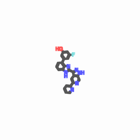 Oc1cc(F)cc(-c2cccc3[nH]c(-c4n[nH]c5cnc(-c6ccccn6)cc45)nc23)c1